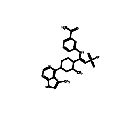 CCS(=O)(=O)N=C(Nc1cccc(C(N)=O)c1)N1CCN(c2ncnc3[nH]cc(C)c23)CC1C